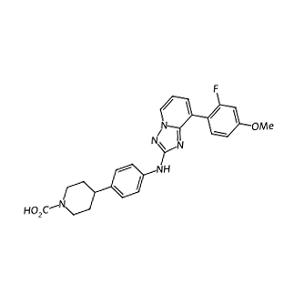 COc1ccc(-c2cccn3nc(Nc4ccc(C5CCN(C(=O)O)CC5)cc4)nc23)c(F)c1